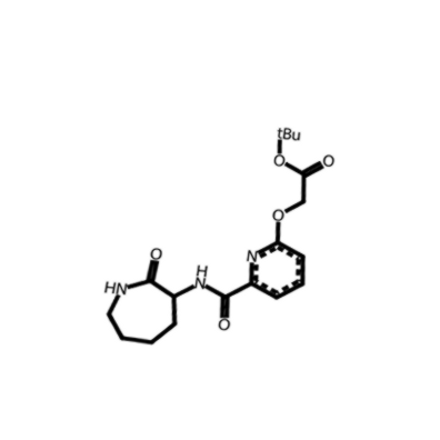 CC(C)(C)OC(=O)COc1cccc(C(=O)NC2CCCCNC2=O)n1